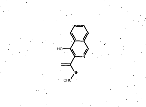 C=C(NC=O)c1ncc2ccccc2c1O